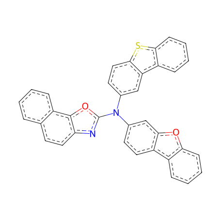 c1ccc2c(c1)ccc1nc(N(c3ccc4c(c3)oc3ccccc34)c3ccc4sc5ccccc5c4c3)oc12